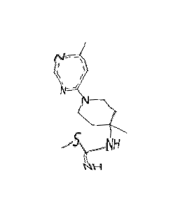 CSC(=N)NC1(C)CCN(c2cc(C)ncn2)CC1